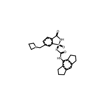 O=C(N=S1(=O)NC(=O)c2ccc(CN3CCC3)cc21)Nc1c2c(cc3c1CCC3)CCC2